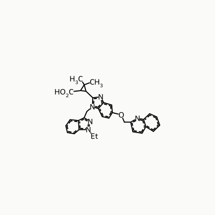 CCn1nc(Cn2c(C3C(C(=O)O)C3(C)C)nc3cc(OCc4ccc5ccccc5n4)ccc32)c2ccccc21